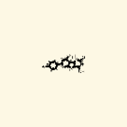 O=c1nc(O)c2sc3nc(-c4ccc(Br)cc4)cc(C(F)(F)F)c3c2[nH]1